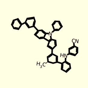 C[C@@H]1C=C(c2ccc3c(c2)c2ccc(-c4cccc(-c5ccccc5)c4)cc2n3-c2ccccc2)C=C(c2ccccc2Nc2cccc(C#N)c2)C1